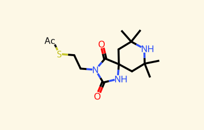 CC(=O)SCCN1C(=O)NC2(CC(C)(C)NC(C)(C)C2)C1=O